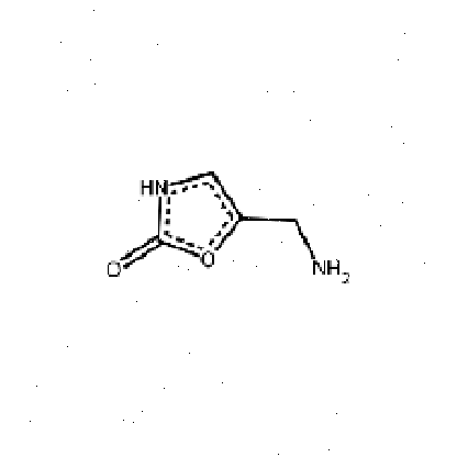 NCc1c[nH]c(=O)o1